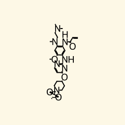 C=CC(=O)Nc1cc(Nc2nccc(OC3CCN(S(C)(=O)=O)CC3)n2)c(OC)cc1N(C)CCN(C)C